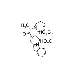 CC(C(=O)N1CCn2c(cc3ccccc32)C1)N1CCCCCC1.O=C(O)/C=C\C(=O)O